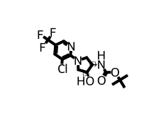 CC(C)(C)OC(=O)N[C@H]1CN(c2ncc(C(F)(F)F)cc2Cl)C[C@@H]1O